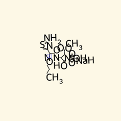 CCCCO/N=C(\C(=O)NC1C(=O)N(S(=O)(=O)O)C1C(=O)OC)c1csc(N)n1.[NaH]